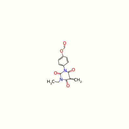 C=C1C(=O)N(CC)C(=O)N(c2ccc(OC=O)cc2)C1=O